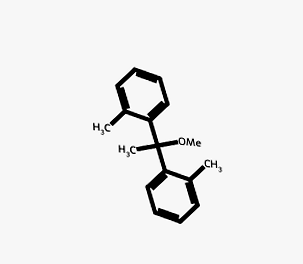 COC(C)(c1ccccc1C)c1ccccc1C